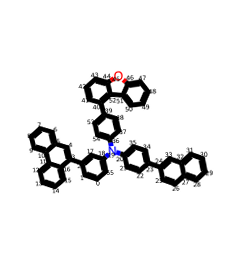 c1cc(-c2cc3ccccc3c3ccccc23)cc(N(c2ccc(-c3ccc4ccccc4c3)cc2)c2ccc(-c3cccc4oc5ccccc5c34)cc2)c1